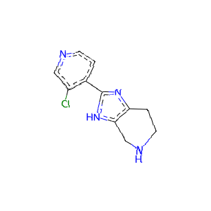 Clc1cnccc1-c1nc2c([nH]1)CNCC2